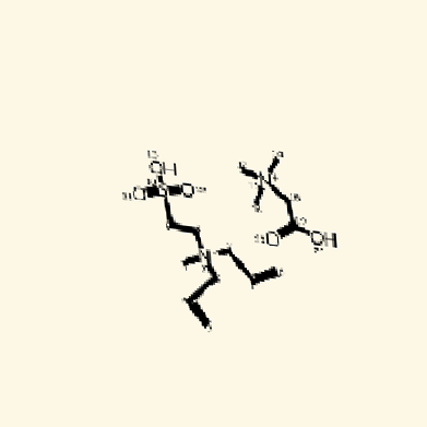 C=CC[N+](C)(CC=C)CCS(=O)(=O)O.C[N+](C)(C)CC(=O)O